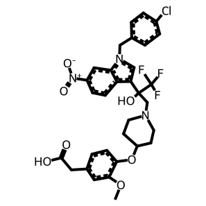 COc1cc(CC(=O)O)ccc1OC1CCN(CC(O)(c2cn(Cc3ccc(Cl)cc3)c3cc([N+](=O)[O-])ccc23)C(F)(F)F)CC1